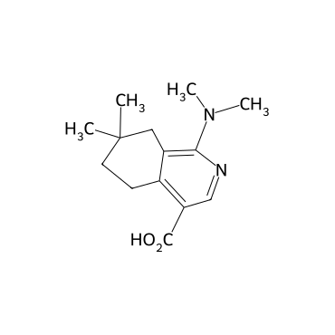 CN(C)c1ncc(C(=O)O)c2c1CC(C)(C)CC2